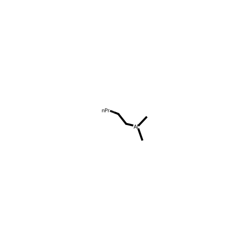 CCCC[CH2][Al]([CH3])[CH3]